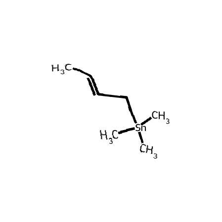 C/C=C/[CH2][Sn]([CH3])([CH3])[CH3]